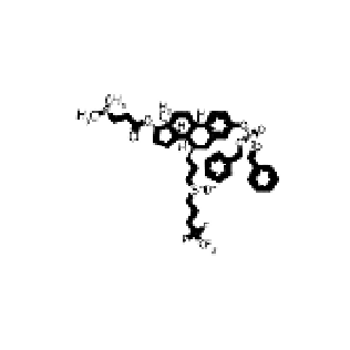 CN(C)CCC(=O)O[C@H]1CC[C@H]2[C@@H]3[C@H](CCC[S+]([O-])CCCC(F)(F)C(F)(F)F)Cc4cc(OP(=O)(OCc5ccccc5)OCc5ccccc5)ccc4[C@H]3CC[C@]12C